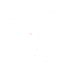 COc1ccc(C(=O)NC(C)(C)C)c(C[C@H](O)[C@@H](Cc2ccccc2F)NC(=O)OC(C)(C)C)c1